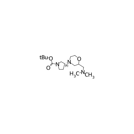 CN(C)CC1CN([C@@H]2CCN(C(=O)OC(C)(C)C)C2)CCO1